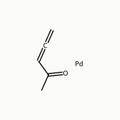 C=C=CC(C)=O.[Pd]